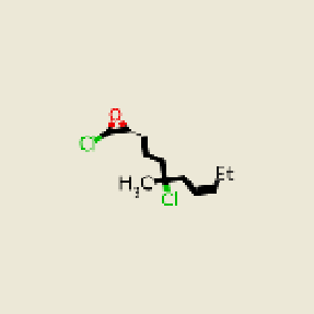 CC/C=C\CC(C)(Cl)CCC[C@H]1OC1Cl